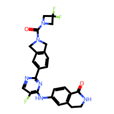 O=C1NCCc2cc(Nc3nc(-c4ccc5c(c4)CN(C(=O)N4CC(F)(F)C4)C5)ncc3F)ccc21